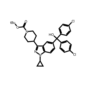 CC(C)(C)OC(=O)N1CCC(c2nn(C3CC3)c3ccc(C(O)(c4ccc(Cl)cc4)c4ccc(Cl)cc4)cc23)CC1